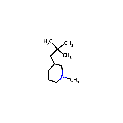 CN1CCCC(CC(C)(C)C)C1